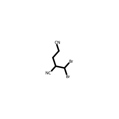 N#CCCC(C#N)C(Br)Br